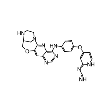 N=C/N=c1/cc(Oc2ccc(Nc3ncnc4cc5c(nc34)N3CCNC(CO5)C3)cc2)cc[nH]1